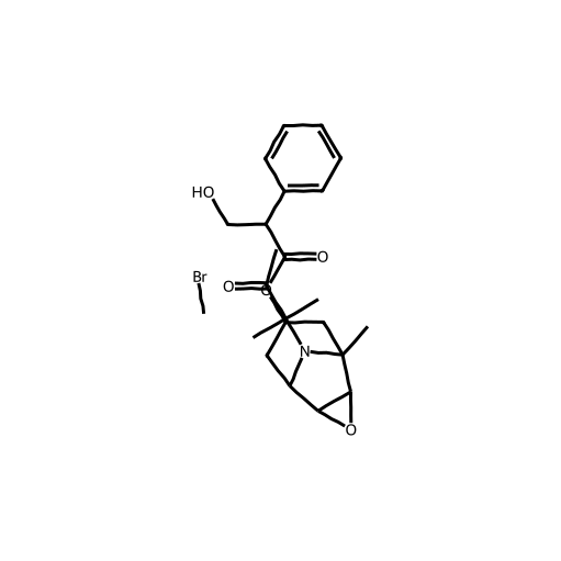 CBr.CC(=O)C(C)(C)N1C2CC(OC(=O)C(CO)c3ccccc3)CC1(C)C1OC21